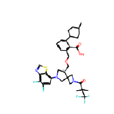 CC1CCC(c2cccc(COC[C@@H]3CN(c4cc(F)c(F)c5ncsc45)CC34CN(C(=O)C(C)(C)C(F)(F)F)C4)c2C(=O)O)CC1